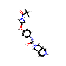 CC(C)(C)C(=O)N1CC(Oc2ccc(NC(=O)N3Cc4ccncc4C3)cc2)C1